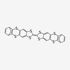 C1=CC2CCC1C1=C2Sc2cc3c(cc2S1)SC(=C1Sc2cc4c(cc2S1)SC1=C(S4)C2C=CC1CC2)S3